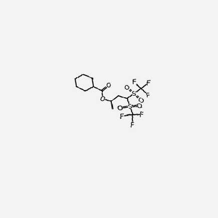 CC(CC(S(=O)(=O)C(F)(F)F)S(=O)(=O)C(F)(F)F)OC(=O)C1CCCCC1